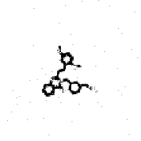 COc1ccc(OC)c(/C=C/c2nc3ccccc3c(=O)n2CC2CCCC(CN)C2)c1